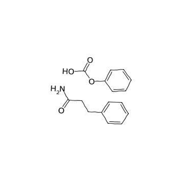 NC(=O)CCc1ccccc1.O=C(O)Oc1ccccc1